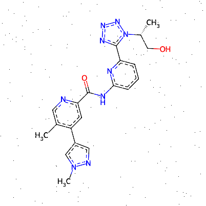 Cc1cnc(C(=O)Nc2cccc(-c3nnnn3[C@H](C)CO)n2)cc1-c1cnn(C)c1